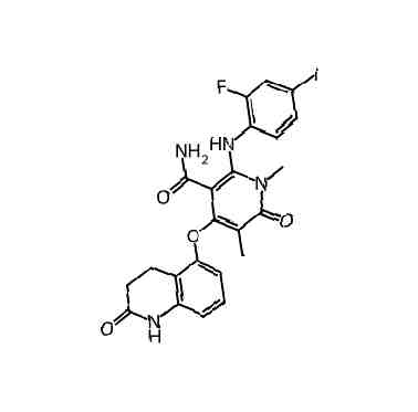 Cc1c(Oc2cccc3c2CCC(=O)N3)c(C(N)=O)c(Nc2ccc(I)cc2F)n(C)c1=O